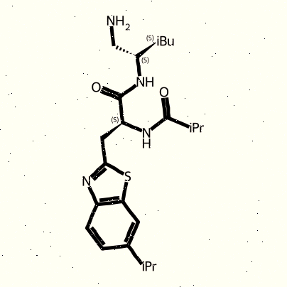 CC[C@H](C)[C@@H](CN)NC(=O)[C@H](Cc1nc2ccc(C(C)C)cc2s1)NC(=O)C(C)C